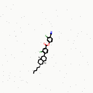 CCCCC[C@H]1CC[C@@H]2CC(c3ccc(C(=O)Oc4ccc(C#N)c(F)c4)cc3F)CC[C@H]2C1